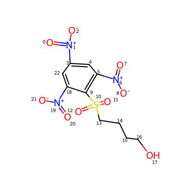 O=[N+]([O-])c1cc([N+](=O)[O-])c(S(=O)(=O)CCCCO)c([N+](=O)[O-])c1